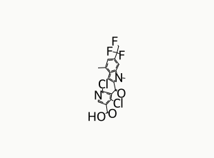 Cc1cc(C(F)(F)CF)cc2c1cc(C(=O)c1c(Cl)ncc(C(=O)O)c1Cl)n2C